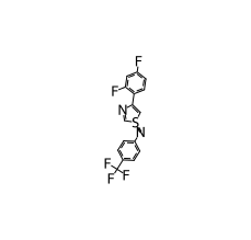 Fc1ccc(C2=CS(=Nc3ccc(C(F)(F)F)cc3)C=N2)c(F)c1